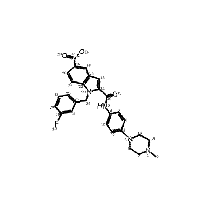 CN1CCN(c2ccc(NC(=O)c3cc4cc([N+](=O)[O-])ccc4n3Cc3cccc(F)c3)cc2)CC1